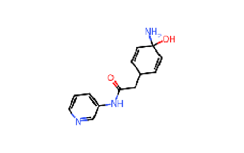 NC1(O)C=CC(CC(=O)Nc2cccnc2)C=C1